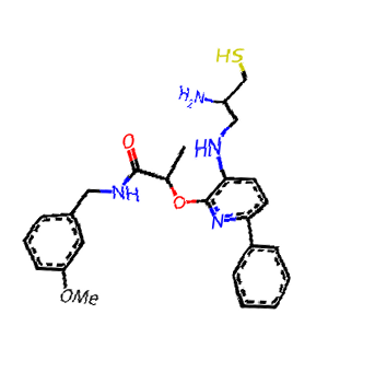 COc1cccc(CNC(=O)C(C)Oc2nc(-c3ccccc3)ccc2NCC(N)CS)c1